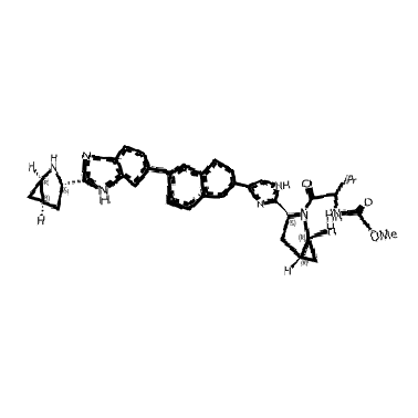 COC(=O)NC(C(=O)N1[C@@H]2C[C@@H]2C[C@H]1c1nc(-c2ccc3cc(-c4ccc5nc([C@@H]6C[C@H]7C[C@H]7N6)[nH]c5c4)ccc3c2)c[nH]1)C(C)C